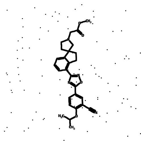 COC(=O)CN1CCC2(CCc3c(-c4noc(-c5ccc(OC(C)C)c(C#N)c5)n4)cccc32)C1